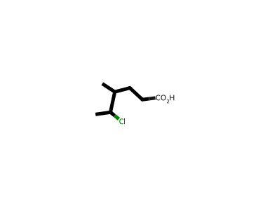 CC(Cl)C(C)CCC(=O)O